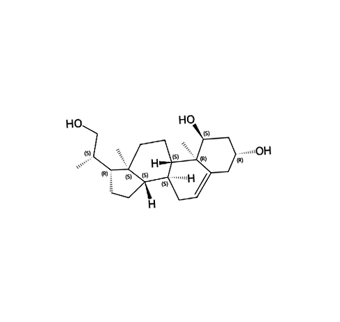 C[C@H](CO)[C@H]1CC[C@H]2[C@@H]3CC=C4C[C@@H](O)C[C@H](O)[C@]4(C)[C@H]3CC[C@]12C